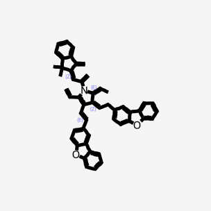 C=Cc1c(/C=C/c2ccc3oc4ccccc4c3c2)c(=C/Cc2ccc3oc4ccccc4c3c2)/c(=C\C)n1C(=C)/C=C1\C(=C)c2ccccc2C1(C)C